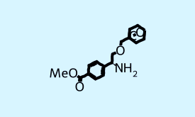 COC(=O)c1ccc([C@@H](N)COCC23CCC(CC2)OC3)cc1